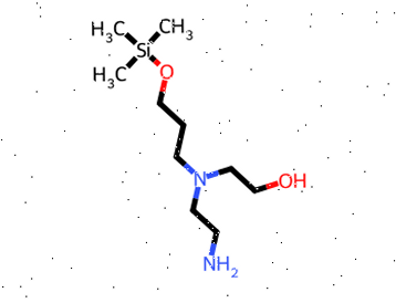 C[Si](C)(C)OCCCN(CCN)CCO